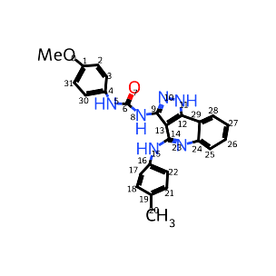 COc1ccc(NC(=O)Nc2n[nH]c3c2c(Nc2ccc(C)cc2)nc2ccccc23)cc1